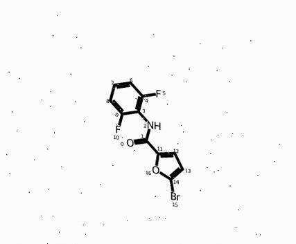 O=C(Nc1c(F)cccc1F)c1ccc(Br)o1